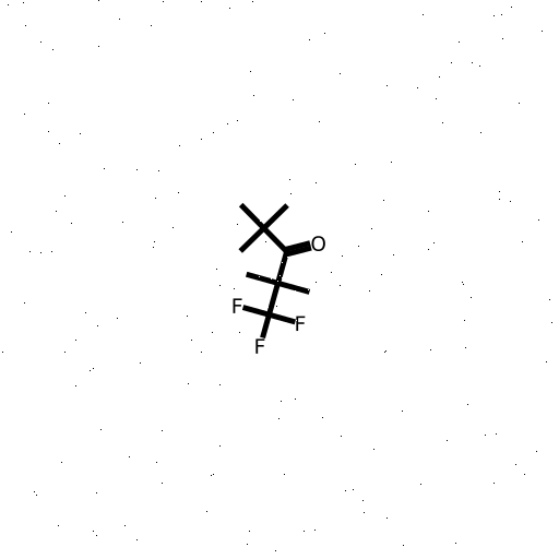 CC(C)(C)C(=O)C(C)(C)C(F)(F)F